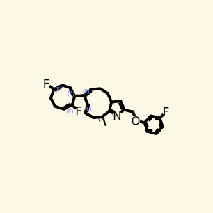 C[C@H]1C/C=C/C(C2=C/C=C(/F)CC/C=C\2F)=C\CCC2C=C(COc3cccc(F)c3)N=C21